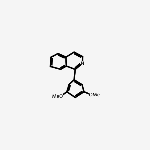 COc1cc(OC)cc(-c2nccc3ccccc23)c1